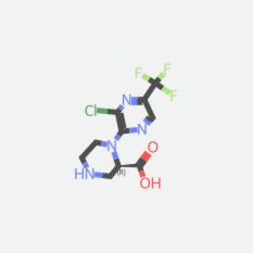 O=C(O)[C@H]1CNCCN1c1ncc(C(F)(F)F)nc1Cl